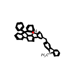 Cn1c2ccccc2c2cc(Cc3ccc4c(c3)c3ccc5c(c3n4C)C(c3ccccc3)(c3ccccc3)c3ccccc3-5)ccc21